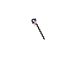 CCCCCCCCCCCCCC(=O)ON1C(C)(C)CCCC1(C)C